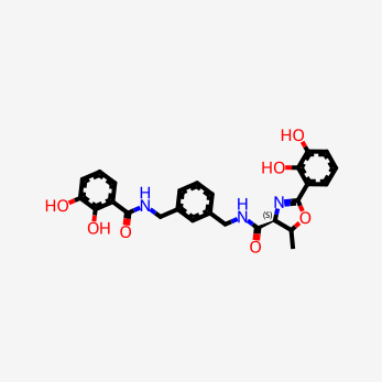 CC1OC(c2cccc(O)c2O)=N[C@@H]1C(=O)NCc1cccc(CNC(=O)c2cccc(O)c2O)c1